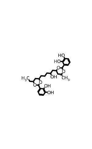 CCC1CC(CCCC(O)CC2C[C@H](C)OC(c3cccc(O)c3O)O2)OC(c2cccc(O)c2O)O1